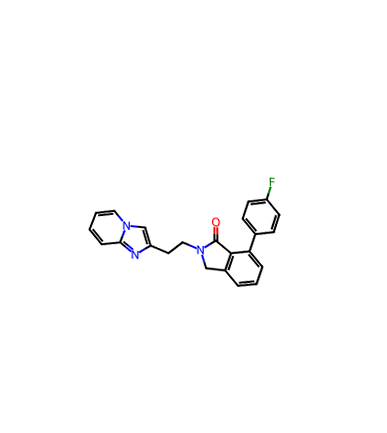 O=C1c2c(cccc2-c2ccc(F)cc2)CN1CCc1cn2ccccc2n1